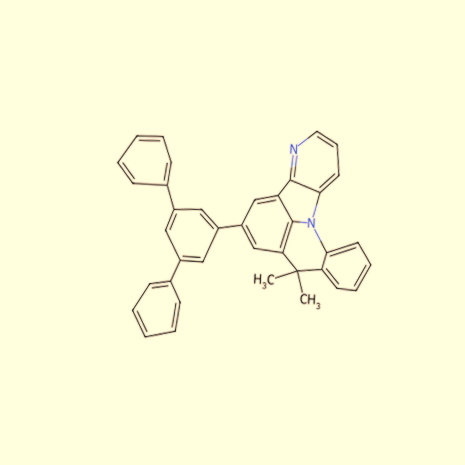 CC1(C)c2ccccc2-n2c3cccnc3c3cc(-c4cc(-c5ccccc5)cc(-c5ccccc5)c4)cc1c32